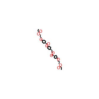 C=CC(=O)OCCCOc1ccc(C(=O)OCCc2ccc(OC(=O)c3ccc(OCCCOC(=O)C=C)cc3)cc2)cc1